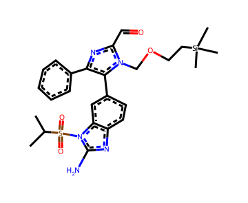 CC(C)S(=O)(=O)n1c(N)nc2ccc(-c3c(-c4ccccc4)nc(C=O)n3COCC[Si](C)(C)C)cc21